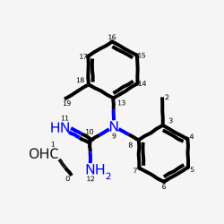 CC=O.Cc1ccccc1N(C(=N)N)c1ccccc1C